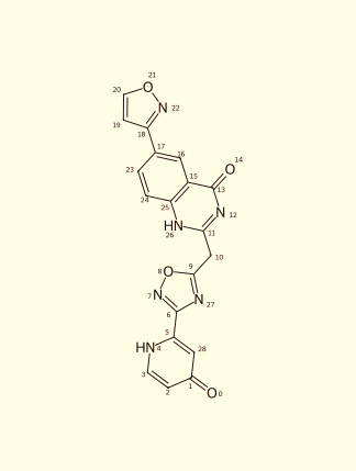 O=c1cc[nH]c(-c2noc(Cc3nc(=O)c4cc(-c5ccon5)ccc4[nH]3)n2)c1